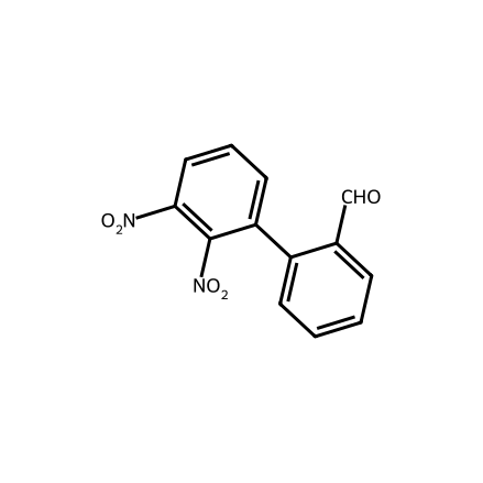 O=Cc1ccccc1-c1cccc([N+](=O)[O-])c1[N+](=O)[O-]